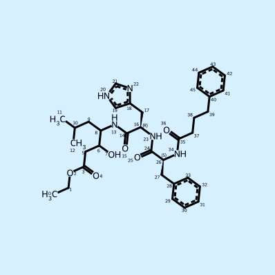 CCOC(=O)CC(O)C(CC(C)C)NC(=O)[C@@H](Cc1c[nH]cn1)NC(=O)[C@H](Cc1ccccc1)NC(=O)CCCc1ccccc1